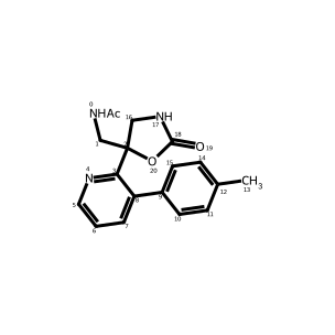 CC(=O)NCC1(c2ncccc2-c2ccc(C)cc2)CNC(=O)O1